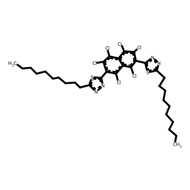 CCCCCCCCCCc1nnc(-c2c(Cl)c(Cl)c3c(Cl)c(Cl)c(-c4nnc(CCCCCCCCCC)s4)c(Cl)c3c2Cl)s1